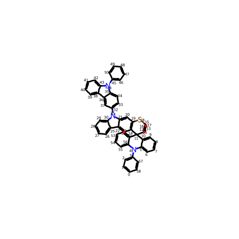 c1ccc(N2c3ccccc3C3(c4ccccc4Sc4cc5c(cc43)c3ccccc3n5-c3ccc4c(c3)c3ccccc3n4-c3ccccc3)c3ccccc32)cc1